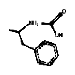 CC(=O)O.CC(N)Cc1ccccc1